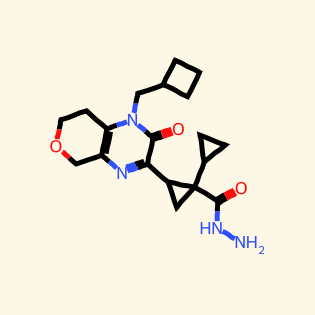 NNC(=O)C1(C2CC2)CC1c1nc2c(n(CC3CCC3)c1=O)CCOC2